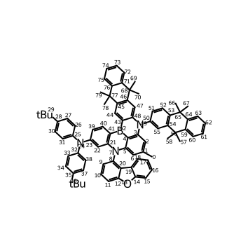 Cc1cc2c3c(c1)N(c1cccc4oc5ccccc5c14)c1cc(N(c4ccc(C(C)(C)C)cc4)c4ccc(C(C)(C)C)cc4)ccc1B3c1cc3c(cc1N2c1ccc2c(c1)C(C)(C)c1ccccc1C2(C)C)C(C)(C)c1ccccc1C3(C)C